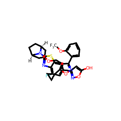 Oc1cc(-c2cc(F)c3nc(N4[C@@H]5CC[C@H]4CC(OCc4c(-c6ccccc6OC(F)(F)F)noc4C4CC4)C5)sc3c2)no1